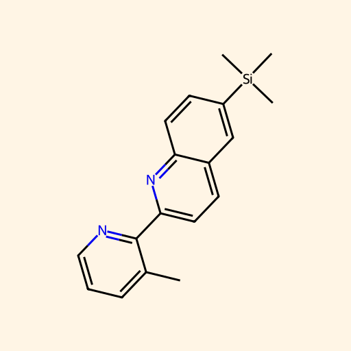 Cc1cccnc1-c1ccc2cc([Si](C)(C)C)ccc2n1